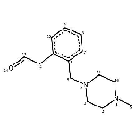 CN1CCN(Cc2ccccc2CC=O)CC1